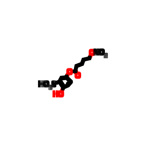 O=C(CCCCO[N+](=O)[O-])Oc1ccc(O)c(S(=O)(=O)O)c1